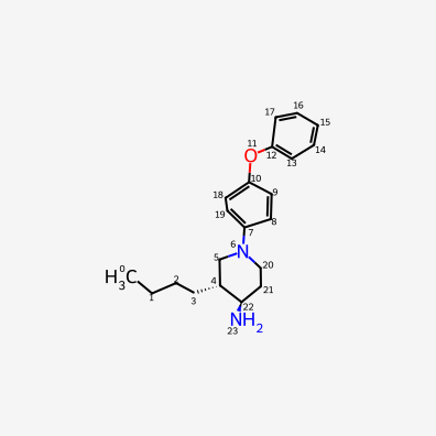 CCCC[C@@H]1CN(c2ccc(Oc3ccccc3)cc2)CC[C@H]1N